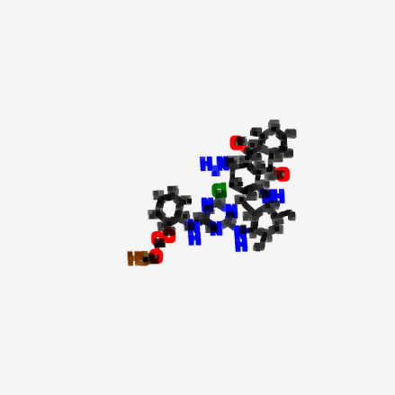 Cc1cc(C)c(Nc2nc(Cl)nc(Nc3ccccc3OOOS)n2)c(C)c1NC1=CCC(N)C2=C1C(=O)c1ccccc1C2=O